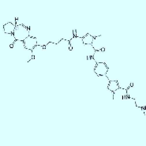 CNCCNC(=O)c1cc(-c2ccc(NC(=O)c3cc(NC(=O)CCCOc4cc5c(cc4OC)C(=O)N4CCC[C@@H]4C=N5)cn3C)cc2)cn1C